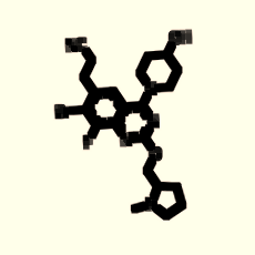 CN1CCCC1COc1nc(N2CCC(O)CC2)c2cc(CCC#N)c(Br)c(F)c2n1